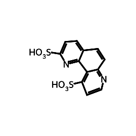 O=S(=O)(O)c1ccc2ccc3nccc(S(=O)(=O)O)c3c2n1